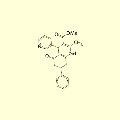 COC(=O)C1=C(C)NC2=C(C(=O)CC(c3ccccc3)C2)C1c1cccnc1